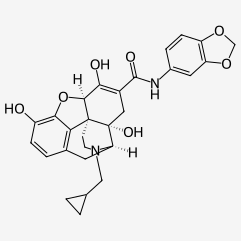 O=C(Nc1ccc2c(c1)OCO2)C1=C(O)[C@@H]2Oc3c(O)ccc4c3[C@@]23CCN(CC2CC2)[C@H](C4)[C@]3(O)C1